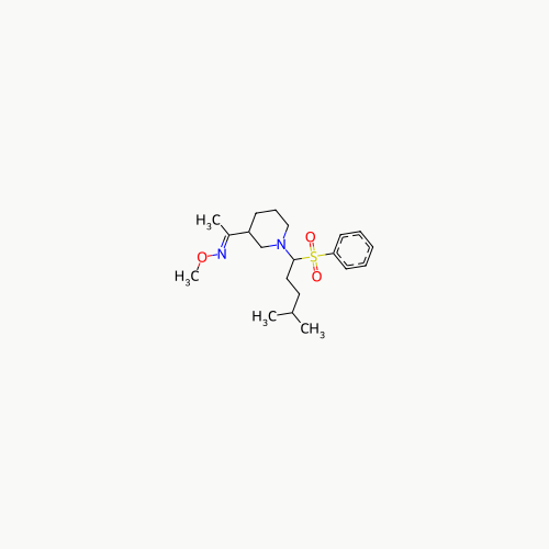 CON=C(C)C1CCCN(C(CCC(C)C)S(=O)(=O)c2ccccc2)C1